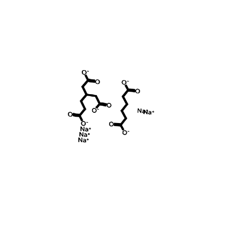 O=C([O-])CCC(CC(=O)[O-])CC(=O)[O-].O=C([O-])CCCCC(=O)[O-].[Na+].[Na+].[Na+].[Na+].[Na+]